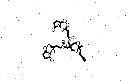 C#CCCC1(C)OCC(C[S+]([O-])CCC(=O)ON2C(=O)CCC2=O)(C[S+]([O-])CCC(=O)ON2C(=O)CCC2=O)CO1